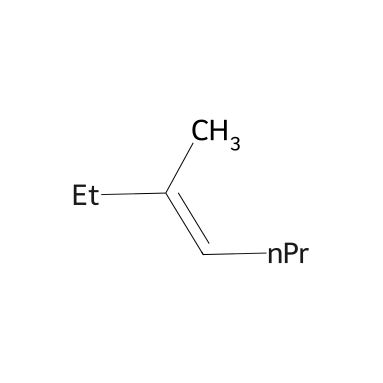 [CH2]CCC=C(C)CC